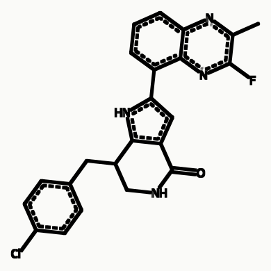 Cc1nc2cccc(-c3cc4c([nH]3)C(Cc3ccc(Cl)cc3)CNC4=O)c2nc1F